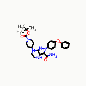 CC(C)(C)OC(=O)N1CCC(N2CCNc3c2nn(-c2ccc(Oc4ccccc4)cc2)c3C(N)=O)CC1